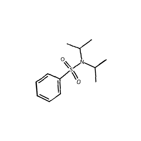 CC(C)N(C(C)C)S(=O)(=O)c1ccccc1